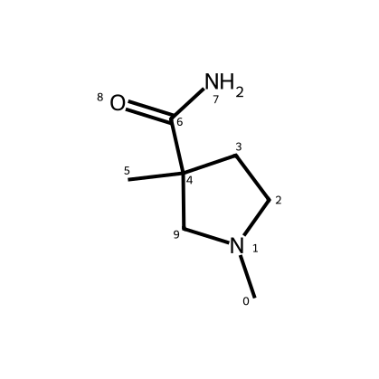 CN1CCC(C)(C(N)=O)C1